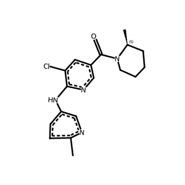 Cc1ccc(Nc2ncc(C(=O)N3CCCC[C@@H]3C)cc2Cl)cn1